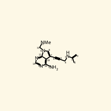 C=C(C)NCC#Cc1cn(CNC)c2ncnc(N)c12